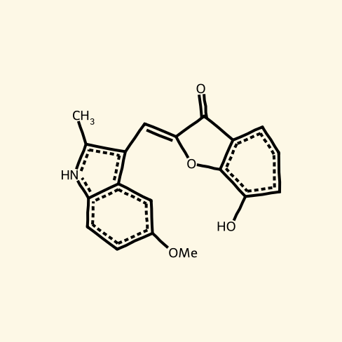 COc1ccc2[nH]c(C)c(C=C3Oc4c(O)cccc4C3=O)c2c1